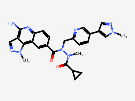 CN(C(=O)C1CC1)N(Cc1ccc(-c2cnn(C)c2)cn1)C(=O)c1ccc2nc(N)c3cnn(C)c3c2c1